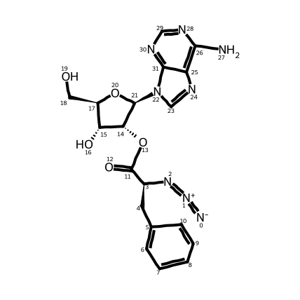 [N-]=[N+]=N[C@@H](Cc1ccccc1)C(=O)O[C@@H]1[C@H](O)[C@@H](CO)O[C@H]1n1cnc2c(N)ncnc21